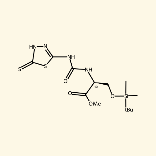 COC(=O)[C@H](CO[Si](C)(C)C(C)(C)C)NC(=O)Nc1n[nH]c(=S)s1